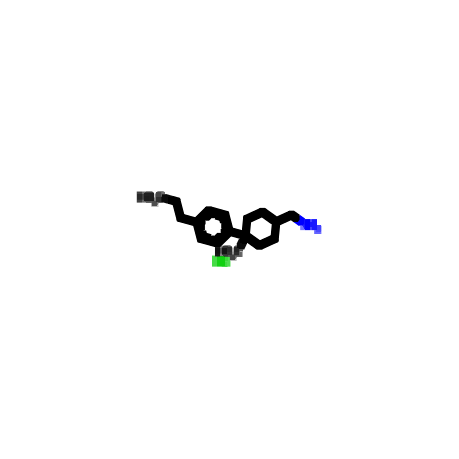 Cl.NCC1CCC(C(=O)O)(c2ccc(CCC(=O)O)cc2)CC1